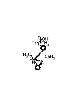 CCOc1nn(-c2ccccc2C(F)(F)F)cc1CCCOc1cccc(OC(C)(C)C(=O)O)c1.[CaH2]